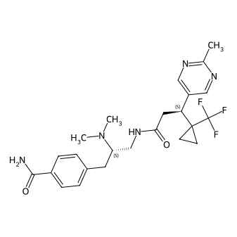 Cc1ncc([C@H](CC(=O)NC[C@H](Cc2ccc(C(N)=O)cc2)N(C)C)C2(C(F)(F)F)CC2)cn1